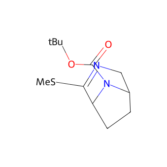 CSC1=NCC2CCC1N2C(=O)OC(C)(C)C